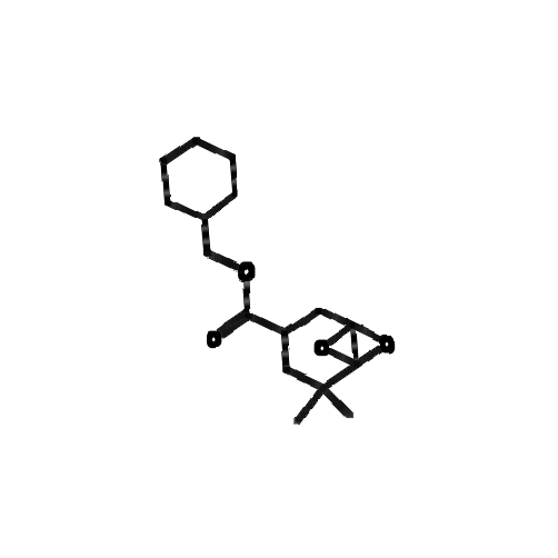 CC1(C)CC(C(=O)OCC2CCCCC2)CC23OC12O3